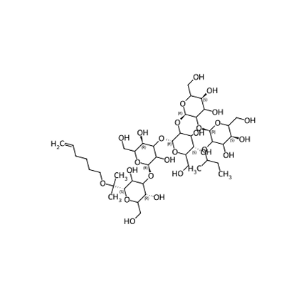 C=CCCCCOC(C)(C)[C@H]1OC(CO)[C@@H](O)C(O[C@H]2OC(CO)[C@@H](O)C(O[C@H]3OC(CO)[C@@H](O)C(O)C3O[C@H]3OC(CO)[C@@H](O)C(O)C3O[C@H]3OC(CO)[C@@H](O)C(O)C3OC(C)CC)C2O)C1O